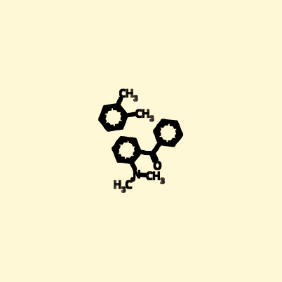 CN(C)c1ccccc1C(=O)c1ccccc1.Cc1ccccc1C